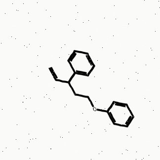 C=C[C](CCOc1ccccc1)c1ccccc1